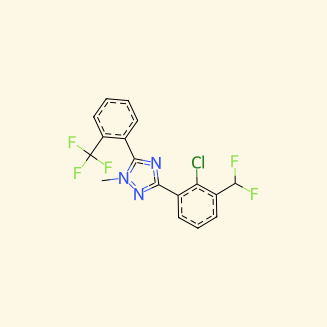 Cn1nc(-c2cccc(C(F)F)c2Cl)nc1-c1ccccc1C(F)(F)F